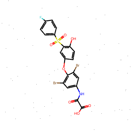 O=C(O)C(=O)Nc1cc(Br)c(Oc2ccc(O)c(S(=O)(=O)c3ccc(F)cc3)c2)c(Br)c1